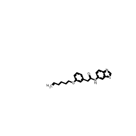 C=CCCCCOc1cccc(CC(=O)Nc2ccc3ncsc3c2)c1